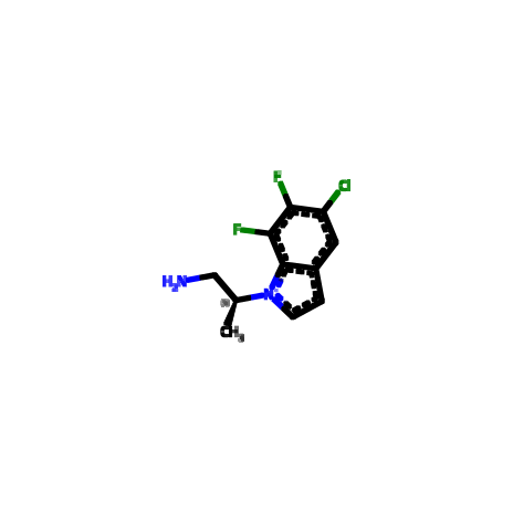 C[C@@H](CN)n1ccc2cc(Cl)c(F)c(F)c21